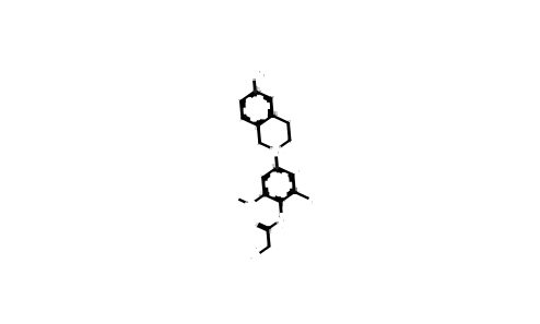 CCSc1cc(N2CCc3cc(C#N)ccc3C2)cc(C)c1NC(=O)CC(C)(C)C